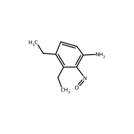 CCc1ccc(N)c(N=O)c1CC